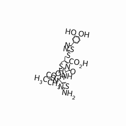 CC(C)(O/N=C(\C(=O)N[C@@H]1C(=O)N2C(C(=O)O)=C(CSc3nnc(-c4ccc(O)c(O)c4)s3)CS[C@H]12)c1csc(N)n1)C(=O)O